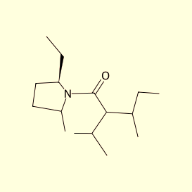 CCC(C)C(C(=O)N1C(C)CC[C@H]1CC)C(C)C